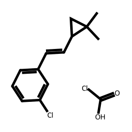 CC1(C)CC1C=Cc1cccc(Cl)c1.O=C(O)Cl